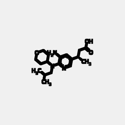 CC(C)CN(c1ncc([C@H](C)CC(=O)O)cc1N)C1CCOCC1